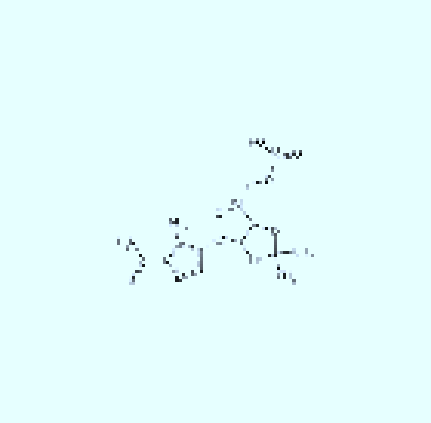 CC1(C)OC2C(O1)[C@H](c1cnn(C(N)=S)c1N)O[C@@H]2CO[PH](=O)O